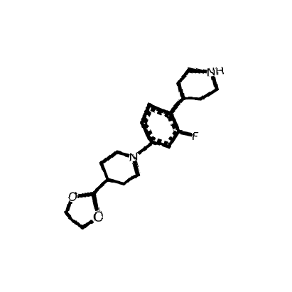 Fc1cc(N2CCC(C3OCCO3)CC2)ccc1C1CCNCC1